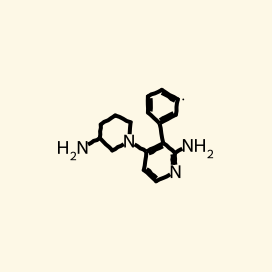 Nc1nccc(N2CCCC(N)C2)c1-c1c[c]ccc1